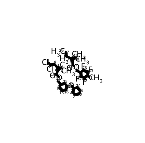 CC1(C)C(C=C(Cl)Cl)C1C(=O)OCc1cccc(Oc2ccccc2)c1.CC=CC1C(C(=O)OCc2c(F)c(F)c(C)c(F)c2F)C1(C)C